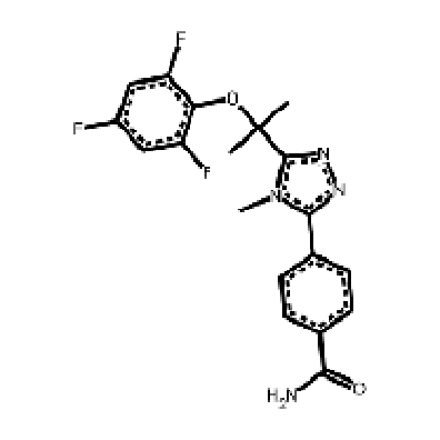 Cn1c(-c2ccc(C(N)=O)cc2)nnc1C(C)(C)Oc1c(F)cc(F)cc1F